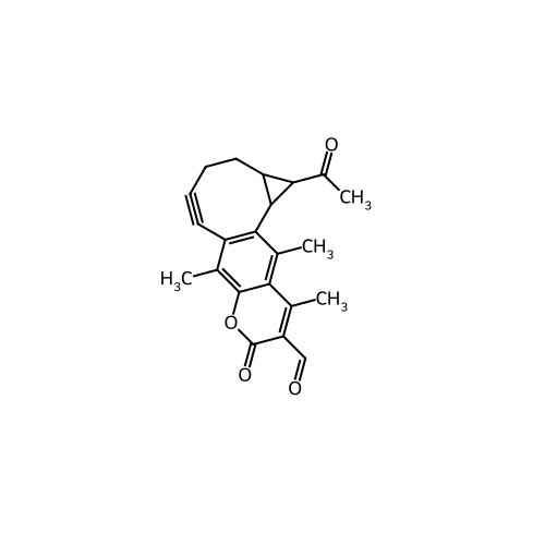 CC(=O)C1C2CCC#Cc3c(c(C)c4c(C)c(C=O)c(=O)oc4c3C)C21